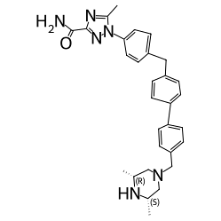 Cc1nc(C(N)=O)nn1-c1ccc(Cc2ccc(-c3ccc(CN4C[C@@H](C)N[C@@H](C)C4)cc3)cc2)cc1